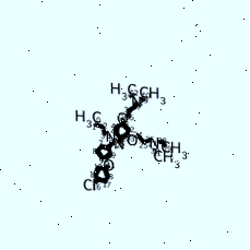 CCCCn1c(-c2cccc(Oc3ccc(Cl)cc3)c2)nc2c(OCCCN(CC)CC)cc(OCCCN(CC)CC)cc21